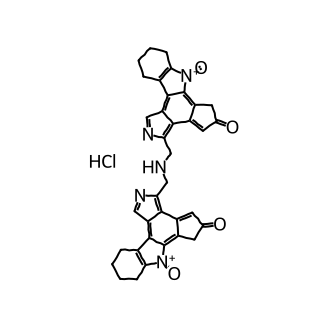 Cl.O=C1C=c2c(c3c(c4c2=C(CNCC2=c5c(c6c(c7c5=CC(=O)C7)[N+](=O)C5=C6CCCC5)C=N2)N=C4)C2=C(CCCC2)[N+]3=O)C1